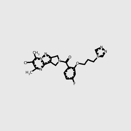 Cc1nc2c3c(nn2c(C)c1Cl)CN(C(=O)c1ccc(F)cc1OCCCn1cnnc1)C3